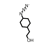 [N-]=[N+]=NC1CCC(CCO)CC1